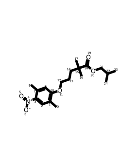 Cc1cc([N+](=O)[O-])c(C)cc1OCCCC(C)(C)C(=O)OCC(C)C